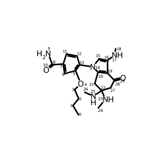 CCCCOc1cc(C(N)=O)ccc1-n1cc(NC)c2c1CC(NC)(NC)CC2=O